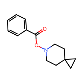 O=C(ON1CCC2(CC1)CC2)c1ccccc1